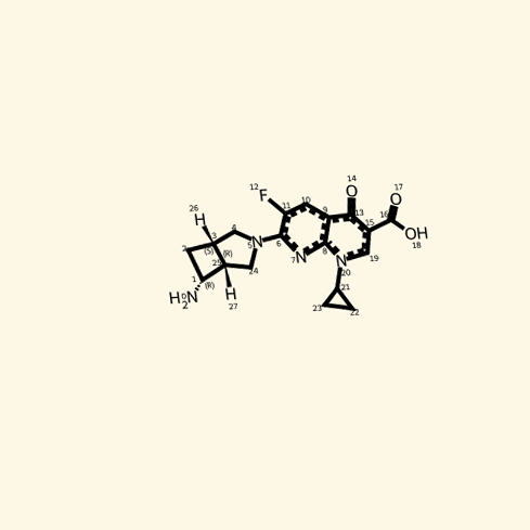 N[C@@H]1C[C@@H]2CN(c3nc4c(cc3F)c(=O)c(C(=O)O)cn4C3CC3)C[C@@H]21